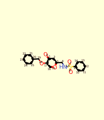 O=c1cc(CNS(=O)(=O)c2ccccc2)occ1OCc1ccccc1